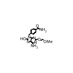 COCCOc1nc(N)c2nc(O)n(Cc3ccc(C(N)=O)cc3)c2n1